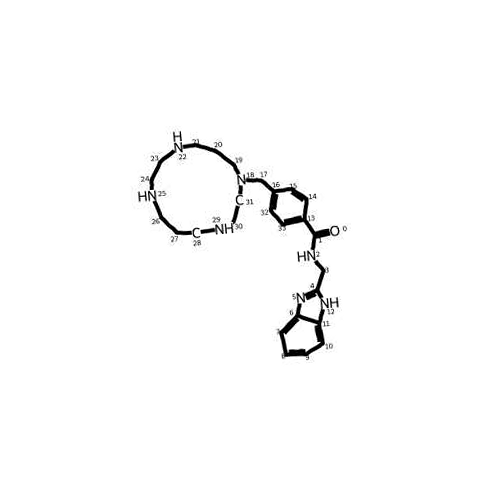 O=C(NCc1nc2ccccc2[nH]1)c1ccc(CN2CCCNCCNCCCNCC2)cc1